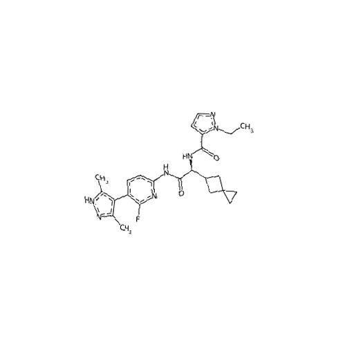 CCn1nccc1C(=O)N[C@H](C(=O)Nc1ccc(-c2c(C)n[nH]c2C)c(F)n1)C1CC2(CC2)C1